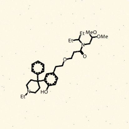 CCC(CC)N(CC(OC)OC)C(=O)CCOCCc1ccc(O)c(C2(c3ccccc3)CCN(CC)CC2)c1